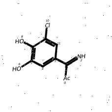 CC(=O)C(=N)c1cc(O)c(O)c(Cl)c1